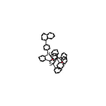 c1ccc(-c2ccc(N(c3ccc(-c4cccc5ccccc45)cc3)c3ccccc3-c3sc(-c4ccccc4)c4c3-c3ccccc3C43c4ccccc4-c4ccccc43)cc2)cc1